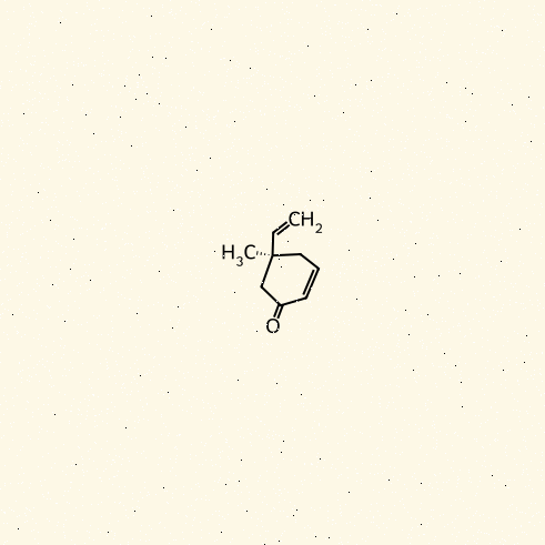 C=C[C@@]1(C)CC=CC(=O)C1